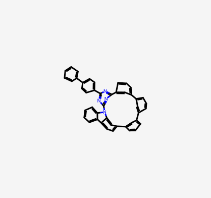 c1ccc(-c2ccc(-c3nc4nc(n3)-n3c5ccccc5c5ccc(cc53)-c3cccc(c3)-c3cccc(c3)-c3cccc-4c3)cc2)cc1